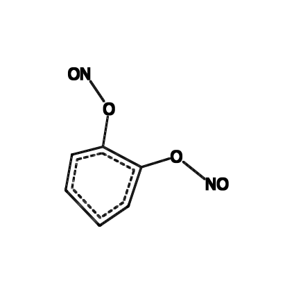 O=NOc1ccccc1ON=O